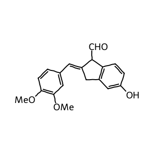 COc1ccc(/C=C2\Cc3cc(O)ccc3C2C=O)cc1OC